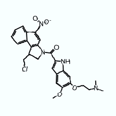 COc1cc2cc(C(=O)N3CC(CCl)c4c3cc([N+](=O)[O-])c3ccccc43)[nH]c2cc1OCCN(C)C